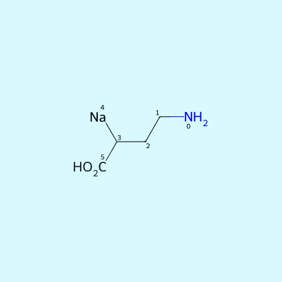 NCC[CH]([Na])C(=O)O